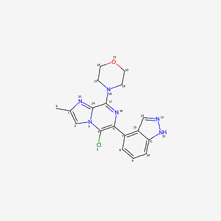 Cc1cn2c(Cl)c(-c3cccc4[nH]ncc34)nc(N3CCOCC3)c2n1